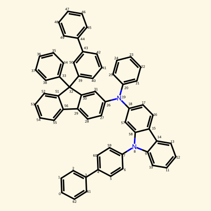 c1ccc(-c2ccc(-n3c4ccccc4c4ccc(N(c5ccccc5)c5ccc6c(c5)C(c5ccccc5)(c5cccc(-c7ccccc7)c5)c5ccccc5-6)cc43)cc2)cc1